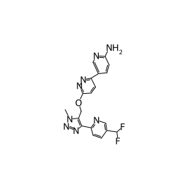 Cn1nnc(-c2ccc(C(F)F)cn2)c1COc1ccc(-c2ccc(N)nc2)nn1